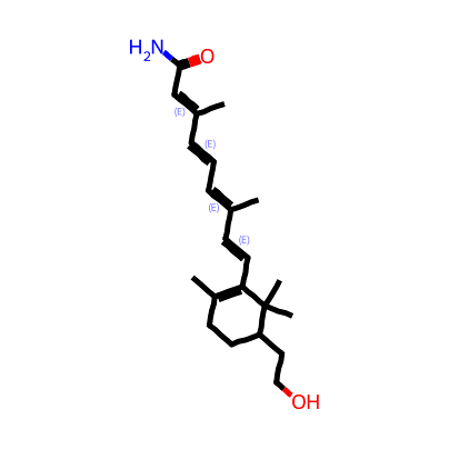 CC1=C(/C=C/C(C)=C/C=C/C(C)=C/C(N)=O)C(C)(C)C(CCO)CC1